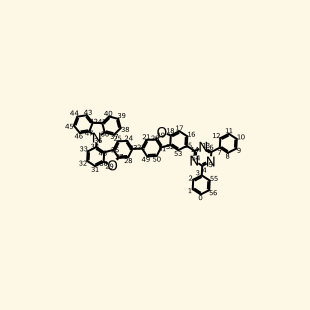 c1ccc(-c2nc(-c3ccccc3)nc(-c3ccc4oc5cc(-c6ccc7c(c6)oc6cccc(-n8c9ccccc9c9ccccc98)c67)ccc5c4c3)n2)cc1